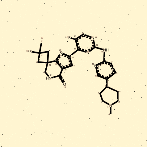 CN1CCC(c2ccc(Nc3ncc(F)c(-c4cc5c(s4)C4(CNC5=O)CC(F)(F)C4)n3)nc2)CC1